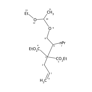 C=CCC(C(=O)OCC)(C(=O)OCC)C(CCC)COC(C)OCC